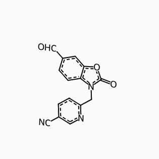 N#Cc1ccc(Cn2c(=O)oc3cc(C=O)ccc32)nc1